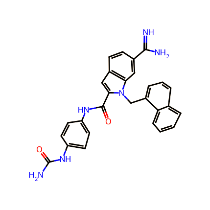 N=C(N)c1ccc2cc(C(=O)Nc3ccc(NC(N)=O)cc3)n(Cc3cccc4ccccc34)c2c1